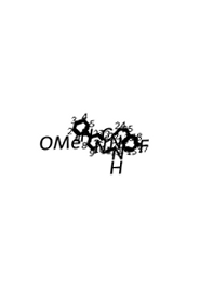 COc1ccccc1C1CCN(CC2Nc3cc(F)cc4c3N2C(C)CC4)CC1